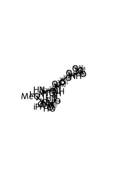 COCCC(=O)N[C@@H](CC(C)C)C(=O)N[C@@H](CO)C(=O)NCC(=O)N[C@@H](CCCNC(=N)N)C(=O)Nc1ccc(COC(=O)NCCN2C(=O)C=CC2=O)cc1